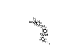 CC(=O)c1cc2cc(NCc3cc(NC(=O)c4cccc(C(F)(F)F)c4)ccc3C)cnc2[nH]1